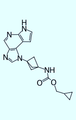 O=C(NC12CC(n3cnc4cnc5[nH]ccc5c43)(C1)C2)OCC1CC1